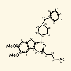 COc1cc2c(cc1OC)C(OC(=O)CCCC(C)=O)=C(CC1CCN(Cc3ccccc3)CC1)C2